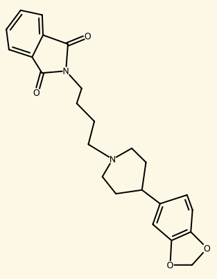 O=C1c2ccccc2C(=O)N1CCCCN1CCC(c2ccc3c(c2)OCO3)CC1